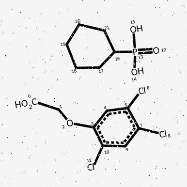 O=C(O)COc1cc(Cl)c(Cl)cc1Cl.O=P(O)(O)C1CCCCC1